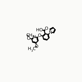 COc1cc(OC)nc(Oc2cccc(-n3cccc3)c2C(=O)O)c1